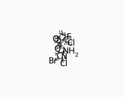 Nc1nc(Cl)c(Br)cc1OC[C@H]1COc2ccc(F)c(CCl)c21